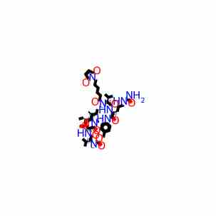 CC[C@H](C)[C@@H]([C@@H](CC)OC)N(C)C(=O)[C@@H](NC(=O)[C@H](C(C)C)N(C)C(=O)OCc1ccc(NC(=O)[C@H](CCCNC(N)=O)NC(=O)[C@H](C(C)C)N(C)C(=O)CCCCCN2C(=O)C=CC2=O)cc1)C(C)C